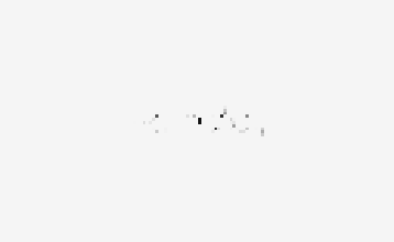 Cc1c(CC(=O)NC[CH]N2C(=O)CC(S(=O)(=O)O)C2=O)c(=O)oc2cc(N)ccc12